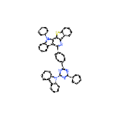 c1ccc(-c2nc(-c3ccc(-c4nc5c6ccccc6sc5c5c4c4ccccc4n5-c4ccccc4)cc3)nc(-n3c4ccccc4c4ccccc43)n2)cc1